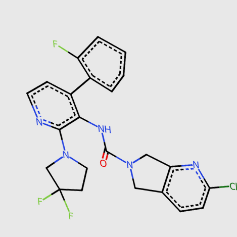 O=C(Nc1c(-c2ccccc2F)ccnc1N1CCC(F)(F)C1)N1Cc2ccc(Cl)nc2C1